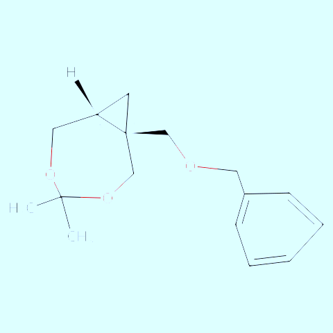 CC1(C)OC[C@@H]2C[C@]2(COCc2ccccc2)CO1